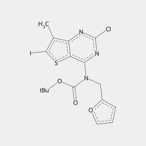 Cc1c(I)sc2c(N(Cc3ccco3)C(=O)OC(C)(C)C)nc(Cl)nc12